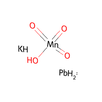 [KH].[O]=[Mn](=[O])(=[O])[OH].[PbH2]